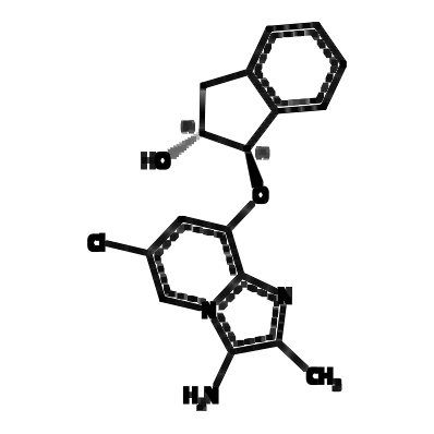 Cc1nc2c(O[C@@H]3c4ccccc4C[C@H]3O)cc(Cl)cn2c1N